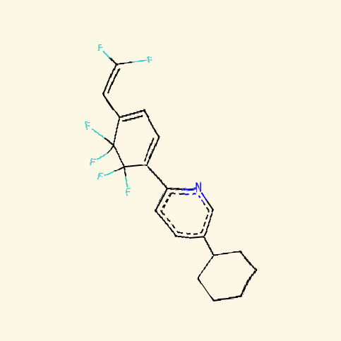 FC(F)=CC1=CC=C(c2ccc(C3CCCCC3)cn2)C(F)(F)C1(F)F